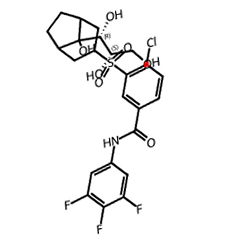 O=C(Nc1cc(F)c(F)c(F)c1)c1ccc(Cl)c(S(=O)(=O)C2CC3CCC(C2)C3(O)[C@H](O)[C@@H](O)CO)c1